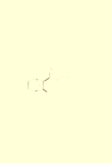 O=C(O)CC/C(O)=C1\C(=O)C2CCC1C2